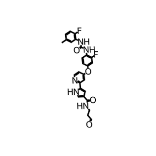 Cc1ccc(F)c(NC(=O)Nc2ccc(Oc3ccnc(-c4cc(C(=O)NCCC=O)c[nH]4)c3)cc2F)c1